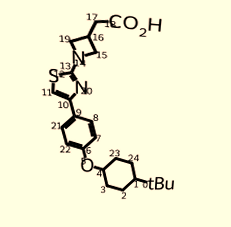 CC(C)(C)C1CCC(Oc2ccc(-c3csc(N4CC(CC(=O)O)C4)n3)cc2)CC1